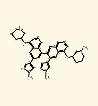 CN1CCCC(Oc2cncc3cc(-c4cc(-c5cnn(C)c5)cc5c(OC6CCCNC6)cncc45)c(-c4cnn(C)c4)cc23)C1